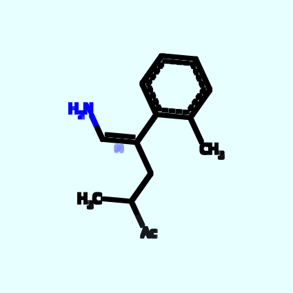 CC(=O)C(C)C/C(=C/N)c1ccccc1C